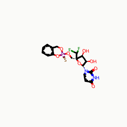 O=c1ccn([C@@H]2O[C@@](COP3(=S)OCc4ccccc4O3)(C(F)F)[C@@H](O)[C@H]2O)c(=O)[nH]1